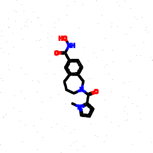 Cn1cccc1C(=O)N1CCCc2cc(C(=O)NO)ccc2C1